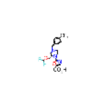 O=C(O)c1cnc(N2CCN(Cc3ccc(C(F)(F)F)cc3)C[C@H]2COC(F)F)o1